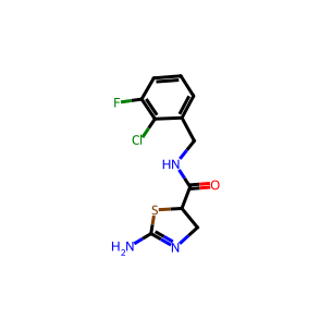 NC1=NCC(C(=O)NCc2cccc(F)c2Cl)S1